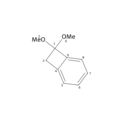 COC1(OC)Cc2ccccc21